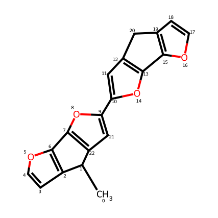 CC1c2ccoc2-c2oc(-c3cc4c(o3)-c3occc3C4)cc21